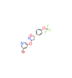 FC(F)(F)Oc1ccc([C@@H]2CC(Oc3cncc(Br)c3)=NO2)cc1